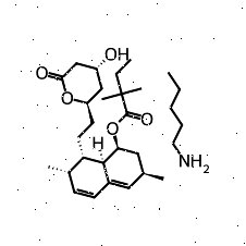 CCC(C)(C)C(=O)O[C@H]1C[C@@H](C)C=C2C=C[C@H](C)[C@H](CC[C@@H]3C[C@@H](O)CC(=O)O3)[C@H]21.CCCCCN